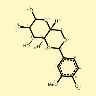 COc1cc(C2OC[C@H]3OC(O)[C@H](O)[C@@H](O)[C@@H]3O2)ccc1O